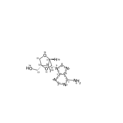 Nc1ncnc2c1ncn2[C@@H]1O[C@@]2(CO)CO[C@H]1C2I